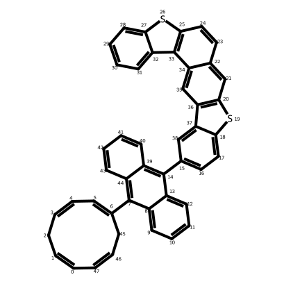 C1=C\C/C=C\C=C(\c2c3ccccc3c(-c3ccc4sc5cc6ccc7sc8ccccc8c7c6cc5c4c3)c3ccccc23)C\C=C/1